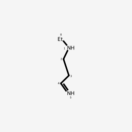 CCNCCC=N